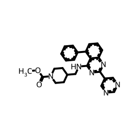 COC(=O)N1CCC(CNc2nc(-c3cncnc3)nc3cccc(-c4ccccc4)c23)CC1